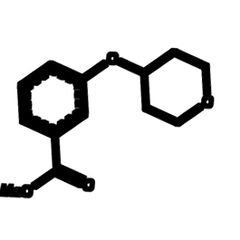 COC(=O)c1cccc(OC2CCOCC2)c1